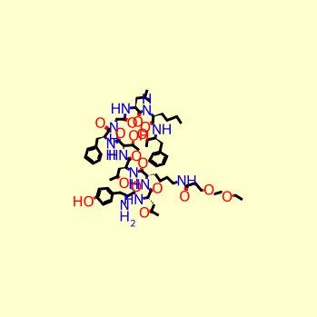 CCCC[C@H](NC(=O)[C@H](CC(C)C)NC(=O)CNC(=O)[C@H](Cc1ccccc1)NC(=O)[C@@H](NC(=O)[C@H](CC(C)=O)NC(=O)[C@H](CCCCNC(=O)CCOCCOCC)NC(=O)[C@H](CC(C)=O)NC(=O)[C@@H](N)Cc1ccc(O)cc1)C(C)O)C(=O)N[C@@H](Cc1ccccc1)C(C)=O